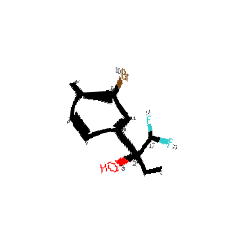 CCC(O)(c1ccc(C)c(Br)c1)C(F)F